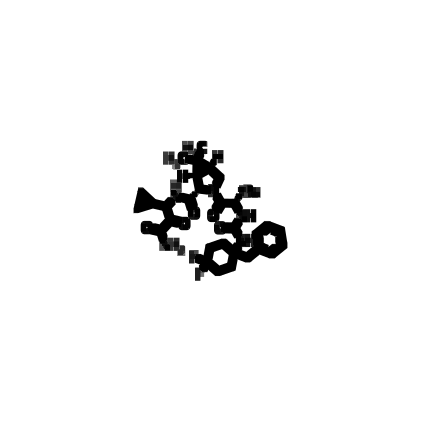 CC(C)(C)[C@H](NC(=O)NC1(Cc2ccccc2)CCC(F)(F)CC1)C(=O)N1C[C@H]2[C@@H]([C@H]1C(=O)NC(C(=O)C(N)=O)C1CC1)C2(C)C